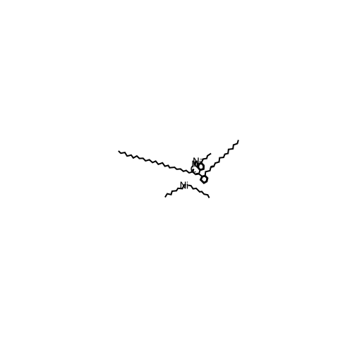 CCCCCCCCCCCC=CCCc1ccccc1C(=CC(=C=[N+]=[N-])CCCCCCCCCCCCCCCCCCCCCCCC)c1ccc(CCCC)cc1.CCCCCCC[CH2][Ni][CH2]CCCCCCC